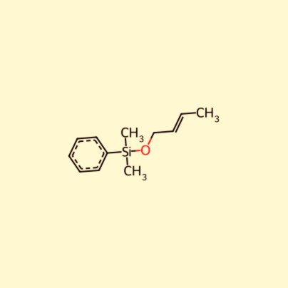 CC=CCO[Si](C)(C)c1ccccc1